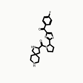 O=C(c1ccc(F)cc1)c1csc(C2CCCN2C(=O)C2CC3(CCNCC3)CN2)n1